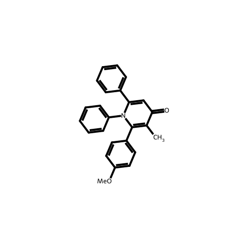 COc1ccc(-c2c(C)c(=O)cc(-c3ccccc3)n2-c2ccccc2)cc1